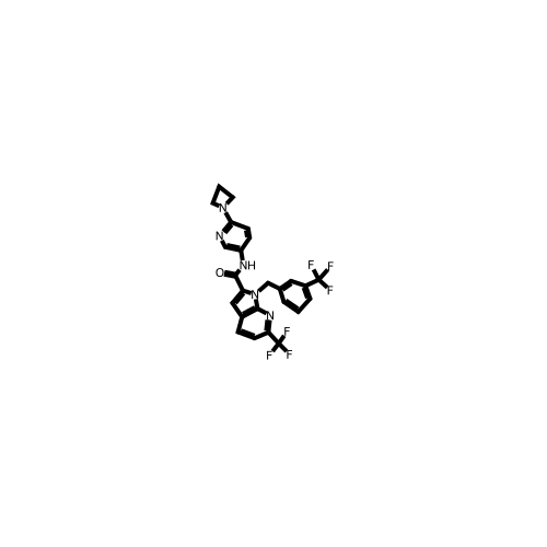 O=C(Nc1ccc(N2CCC2)nc1)c1cc2ccc(C(F)(F)F)nc2n1Cc1cccc(C(F)(F)F)c1